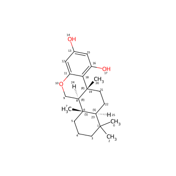 CC1(C)CCC[C@]2(C)[C@H]3COc4cc(O)cc(O)c4[C@]3(C)CC[C@@H]12